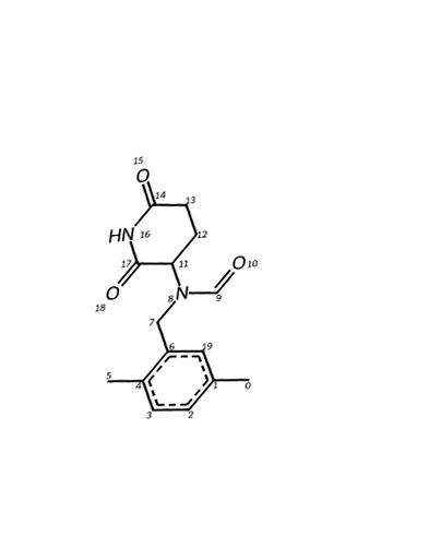 Cc1ccc(C)c(CN(C=O)C2CCC(=O)NC2=O)c1